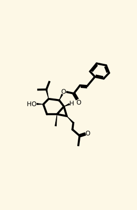 CC(=O)CC[C@@H]1[C@H]2[C@H](OC(=O)/C=C/c3ccccc3)[C@H](C(C)C)[C@H](O)C[C@]21C